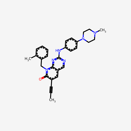 CC#Cc1cc2cnc(Nc3ccc(N4CCN(C)CC4)cc3)nc2n(Cc2ccccc2C)c1=O